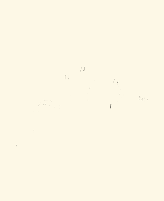 Cn1nc(-c2ccc(Cl)cc2)c2cnc(N)nc21